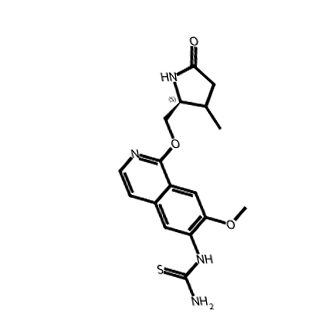 COc1cc2c(OC[C@H]3NC(=O)CC3C)nccc2cc1NC(N)=S